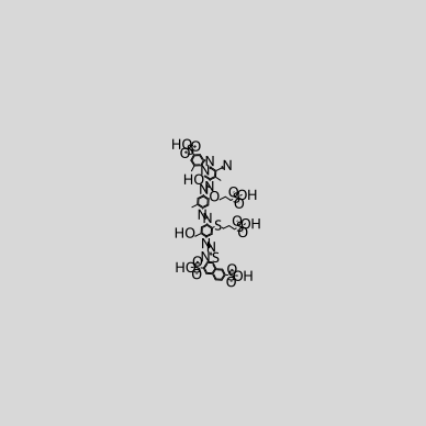 Cc1cc(N=Nc2c(C)c(C#N)c3nc4cc(S(=O)(=O)O)cc(C)c4n3c2O)c(OCCCS(=O)(=O)O)cc1N=Nc1cc(CO)c(N=Nc2nc3c(S(=O)(=O)O)cc4ccc(S(=O)(=O)O)cc4c3s2)cc1SCCCS(=O)(=O)O